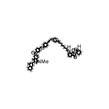 CNc1nc(-c2cnc3ccccc3c2)nc2c1CCN(C(=O)c1ccc(COc3ccc(C#CCN4CCN(CCCCCCCCNc5cccc6c5C(=O)N(C5CCCNC5=O)C6=O)CC4)cc3)cc1)C2